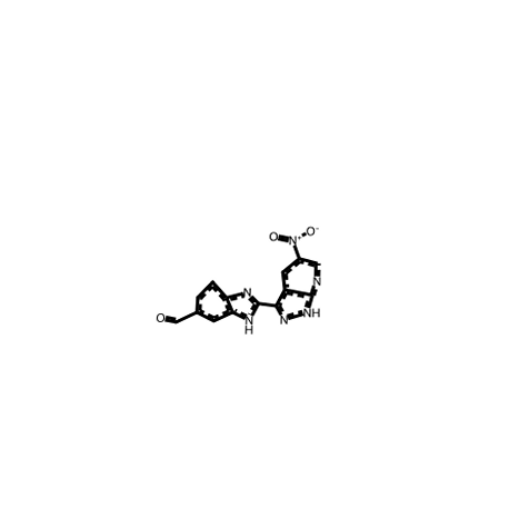 O=Cc1ccc2nc(-c3n[nH]c4ncc([N+](=O)[O-])cc34)[nH]c2c1